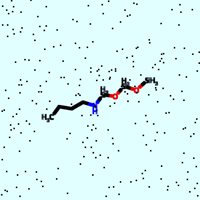 CCCCN[SiH2]O[SiH2]O[SiH3]